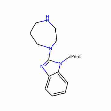 CCCCCn1c(N2CCCNCC2)nc2ccccc21